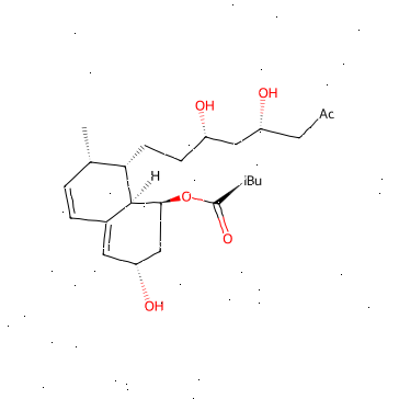 CC[C@H](C)C(=O)O[C@H]1C[C@H](O)C=C2C=C[C@H](C)[C@H](CC[C@H](O)C[C@H](O)CC(C)=O)[C@H]21